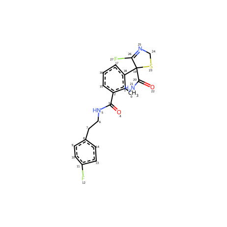 Cc1c(C(=O)NCCc2ccc(F)cc2)cccc1C1(C(N)=O)SCN=C1F